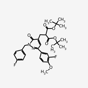 COc1ccc(-c2cc(CC(C(=O)OC(C)(C)C)C(=O)OC(C)(C)C)c(=O)n(Cc3ccc(F)cc3)n2)cc1F